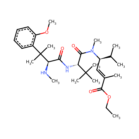 CCOC(=O)/C(C)=C/[C@H](C(C)C)N(C)C(=O)[C@@H](NC(=O)[C@@H](NC)C(C)(C)c1ccccc1OC)C(C)(C)C